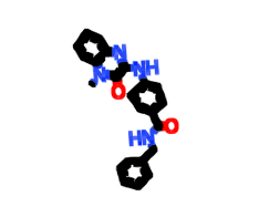 Cn1c(=O)c(Nc2ccc(C(=O)NCc3ccccc3)cc2)nc2ccccc21